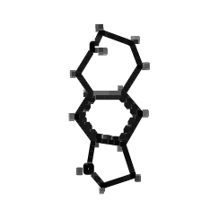 c1c2c(cc3c1CCO3)CCCCC2